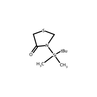 CC(C)(C)[Si](C)(C)N1CSCC1=O